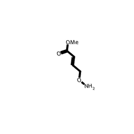 COC(=O)/C=C/CON